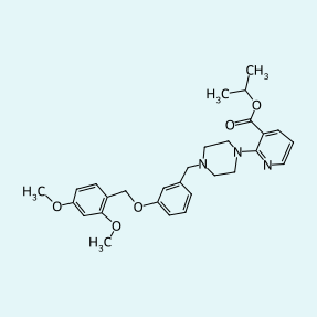 COc1ccc(COc2cccc(CN3CCN(c4ncccc4C(=O)OC(C)C)CC3)c2)c(OC)c1